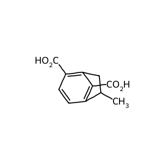 CC1Cc2c(C(=O)O)ccc1c2C(=O)O